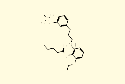 CCCCC(=O)Oc1c(NCCCc2cccc(OS(C)(=O)=O)c2)cccc1OCC